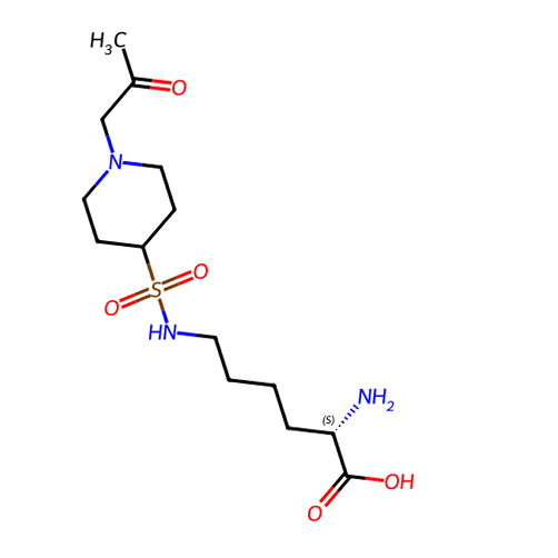 CC(=O)CN1CCC(S(=O)(=O)NCCCC[C@H](N)C(=O)O)CC1